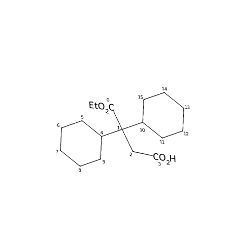 CCOC(=O)C(CC(=O)O)(C1CCCCC1)C1CCCCC1